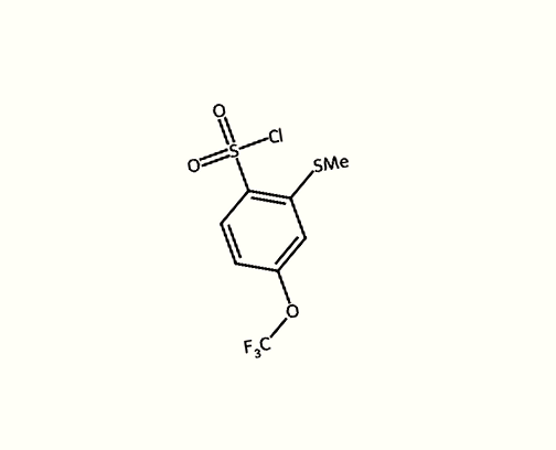 CSc1cc(OC(F)(F)F)ccc1S(=O)(=O)Cl